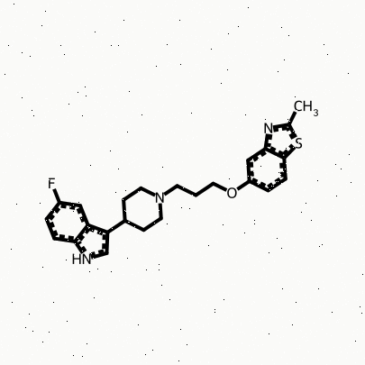 Cc1nc2cc(OCCCN3CCC(c4c[nH]c5ccc(F)cc45)CC3)ccc2s1